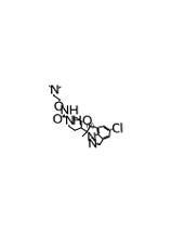 CN(C)CCONC(=O)N1CCC(C2(C)[C@H](O)c3cc(Cl)cc4cnn2c34)CC1